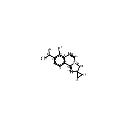 CC(Cl)c1ccc2c(c1F)N=CN1CC3(CC3)N=C21